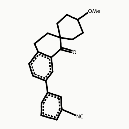 [C-]#[N+]c1cccc(-c2ccc3c(c2)C(=O)C2(CC3)CCC(OC)CC2)c1